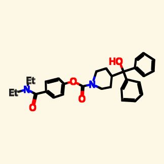 CCN(CC)C(=O)c1ccc(OC(=O)N2CCC(C(O)(c3ccccc3)c3ccccc3)CC2)cc1